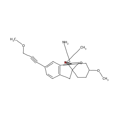 COCC#Cc1ccc2c(c1)C1(N=C(N)N(C)C1=O)C1(CCC(OC)CC1)C2